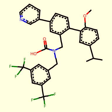 COc1ccc(C(C)C)cc1-c1ccc(-c2cccnc2)cc1CN(Cc1cc(C(F)(F)F)cc(C(F)(F)F)c1)C(=O)O